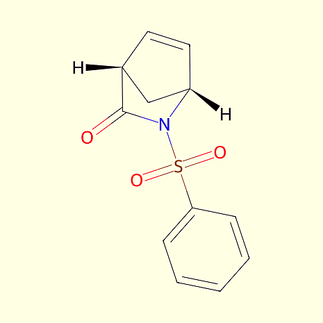 O=C1[C@@H]2C=C[C@@H](C2)N1S(=O)(=O)c1ccccc1